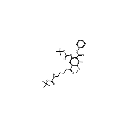 COc1c(C(=O)CCCCNC(=O)OC(C)(C)C)cc(OC(=O)OC(C)(C)C)c(C(=O)Oc2ccccc2)c1C